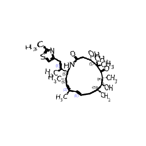 CC1=C/[C@H](C)[C@@H](/C(C)=C/c2csc(C)n2)NC(=O)C[C@H](O)C(C)(C)C(=O)[C@H](C)[C@@H](O)[C@@H](C)C\C=C\1